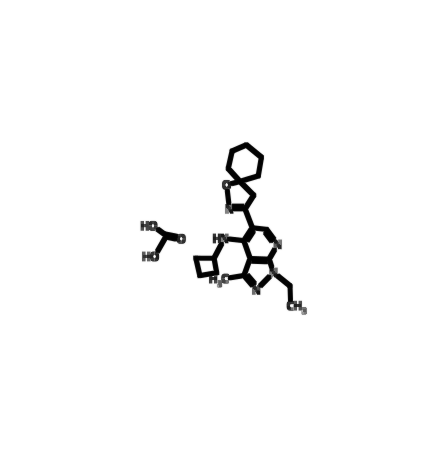 CCn1nc(C)c2c(NC3CCC3)c(C3=NOC4(CCCCC4)C3)cnc21.O=C(O)O